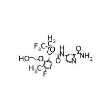 Cc1c(F)ccc([C@H]2C[C@@](C)(C(F)(F)F)O[C@@H]2C(=O)Nc2ccnc(C(N)=O)c2)c1OCCO